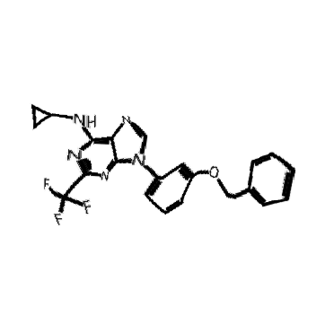 FC(F)(F)c1nc(NC2CC2)c2ncn(-c3cccc(OCc4ccccc4)c3)c2n1